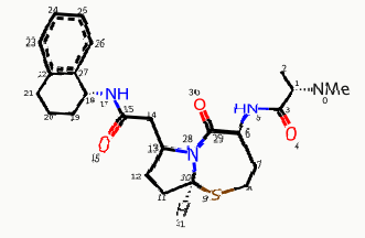 CN[C@@H](C)C(=O)N[C@H]1CCS[C@H]2CCC(CC(=O)N[C@@H]3CCCc4ccccc43)N2C1=O